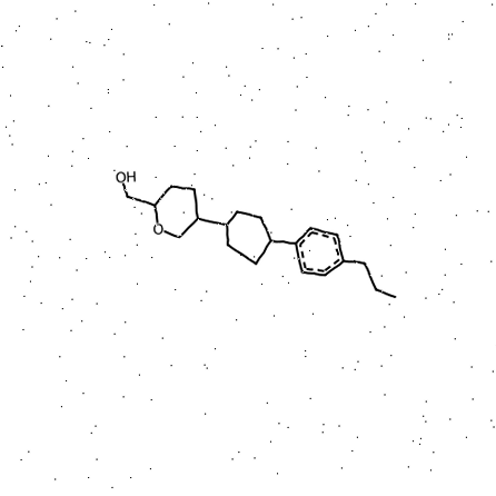 CCCc1ccc(C2CCC(C3CCC(CO)OC3)CC2)cc1